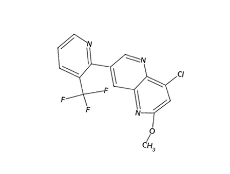 COc1cc(Cl)c2ncc(-c3ncccc3C(F)(F)F)cc2n1